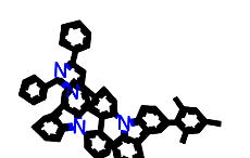 Cc1cc(C)c(-c2ccc3c(c2)c2ccccc2n3-c2ccc(-c3cc(-c4ccccc4)nc(-c4ccccc4)n3)cc2-c2ccccc2-n2c3ccccc3c3ccccc32)c(C)c1